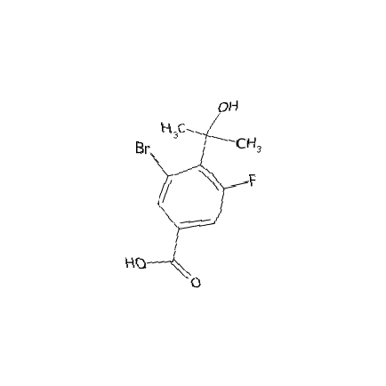 CC(C)(O)c1c(F)cc(C(=O)O)cc1Br